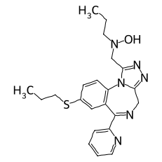 CCCSc1ccc2c(c1)C(c1ccccn1)=NCc1nnc(CN(O)CCC)n1-2